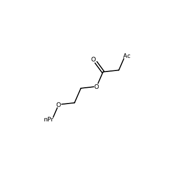 CCCOCCOC(=O)CC(C)=O